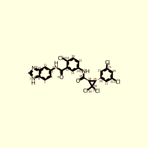 O=C(Nc1ccc2[nH]cnc2c1)c1cc(NC(=O)[C@H]2[C@H](c3cc(Cl)cc(Cl)c3)C2(Cl)Cl)ccc1Cl